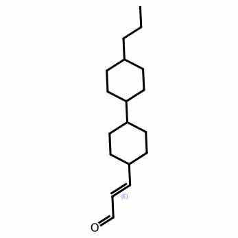 CCCC1CCC(C2CCC(/C=C/C=O)CC2)CC1